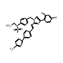 CS(=O)(=O)N(CC(=O)O)c1ccc(Cn2cc(-c3ccc(Cl)cc3Cl)nc2/C=C/c2ccc(-c3ccc(C(F)(F)F)cc3)cc2)cc1